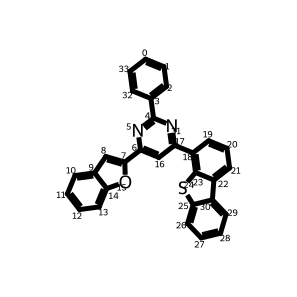 c1ccc(-c2nc(-c3cc4ccccc4o3)cc(-c3cccc4c3sc3ccccc34)n2)cc1